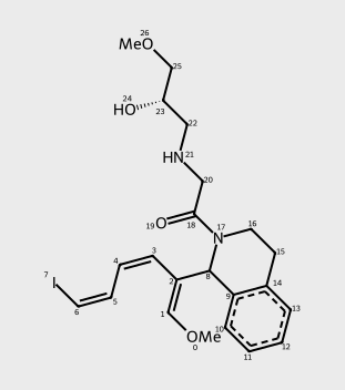 CO/C=C(/C=C\C=C/I)C1c2ccccc2CCN1C(=O)CNC[C@H](O)COC